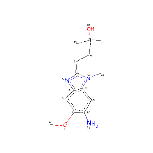 COc1cc2nc(CCC(C)(C)O)n(C)c2cc1N